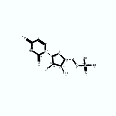 O=c1ccn([C@@H]2O[C@H](COP(=O)(O)O)[C@@H](O)[C@H]2F)c(=O)[nH]1